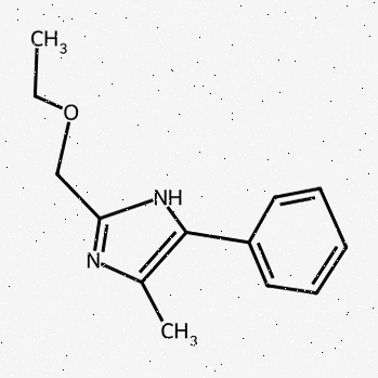 CCOCc1nc(C)c(-c2ccccc2)[nH]1